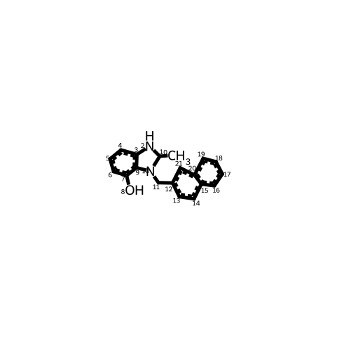 CC1Nc2cccc(O)c2N1Cc1ccc2ccccc2c1